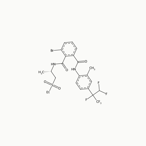 CCS(=O)(=O)C[C@H](C)NC(=O)c1c(Br)cccc1C(=O)Nc1ccc(C(F)(C(F)F)C(F)(F)F)cc1C